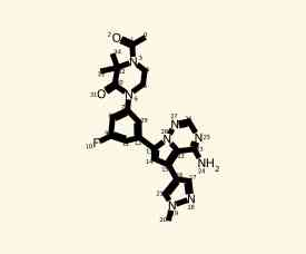 CC(=O)N1CCN(c2cc(F)cc(-c3cc(-c4cnn(C)c4)c4c(N)ncnn34)c2)C(=O)C1(C)C